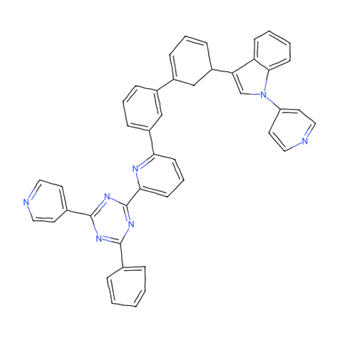 C1=CC(c2cn(-c3ccncc3)c3ccccc23)CC(c2cccc(-c3cccc(-c4nc(-c5ccccc5)nc(-c5ccncc5)n4)n3)c2)=C1